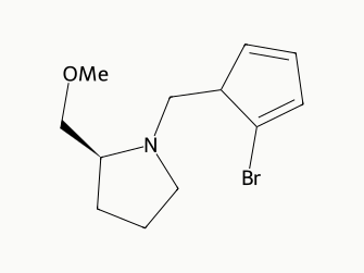 COC[C@@H]1CCCN1CC1C=CC=C1Br